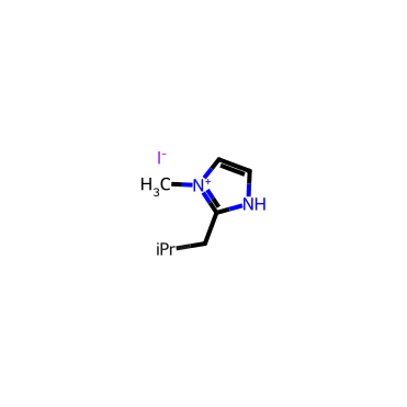 CC(C)Cc1[nH]cc[n+]1C.[I-]